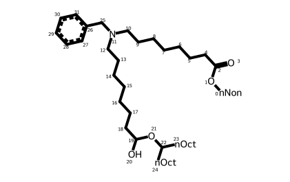 CCCCCCCCCOC(=O)CCCCCCCN(CCCCCCCC(O)OC(CCCCCCCC)CCCCCCCC)Cc1ccccc1